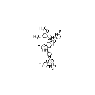 COc1cc(C)ccc1CN(c1cccc(F)n1)S(=O)(=O)c1cc(C)c(N[C@H]2CCN(C(=O)OC(C)(C)C)C2)cc1F